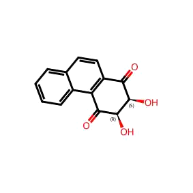 O=C1c2ccc3ccccc3c2C(=O)[C@H](O)[C@@H]1O